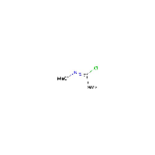 CN/C(Cl)=N\OC